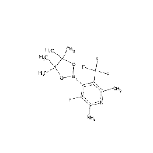 Cc1nc(N)c(F)c(B2OC(C)(C)C(C)(C)O2)c1C(F)(F)F